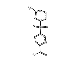 NC(=O)c1ccc(S(=O)(=O)c2cccc(C(F)(F)F)c2)cn1